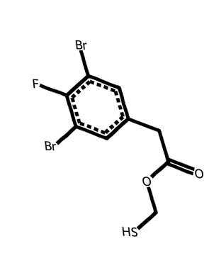 O=C(Cc1cc(Br)c(F)c(Br)c1)OCS